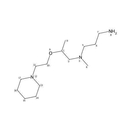 CC(CN(C)CCCN)OCCN1CCCCC1